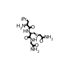 CC(C)C[C@H](N)C(=O)N[C@@H](CSCC(N)=O)C(=O)NCC(N)=O